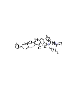 C=C/C(=C\C/C=C/Cl)C(O)(c1ccc2nc(O)c(CC3=CC=C(n4cccn4)C=CC3)c(Cl)c2c1)c1cncn1C